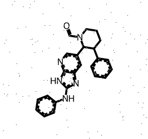 O=CN1CCCC(c2ccccc2)C1c1cnc2[nH]c(Nc3ccccc3)nc2c1